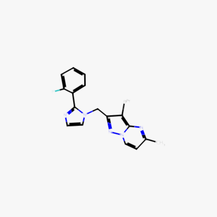 CCCc1c(Cn2ccnc2-c2ccccc2F)nn2ccc(C)nc12